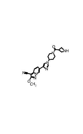 COc1nn2cc(-c3cn(C4CCN(C(=O)C5CNC5)CC4)cn3)ccc2c1C#N